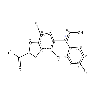 O=C(O)C1Cc2c(Cl)c(/C(=N/O)c3ccc(F)cc3)cc(Cl)c2O1